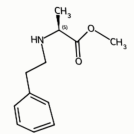 COC(=O)[C@H](C)NCCc1ccccc1